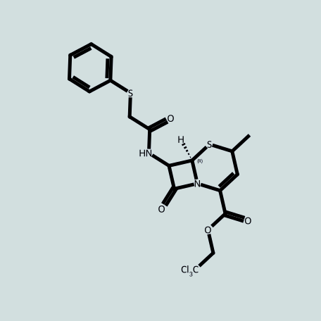 CC1C=C(C(=O)OCC(Cl)(Cl)Cl)N2C(=O)C(NC(=O)CSc3ccccc3)[C@H]2S1